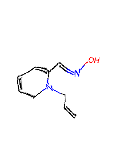 C=CCN1CC=CC=C1C=NO